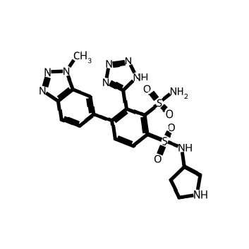 Cn1nnc2ccc(-c3ccc(S(=O)(=O)NC4CCNC4)c(S(N)(=O)=O)c3-c3nnn[nH]3)cc21